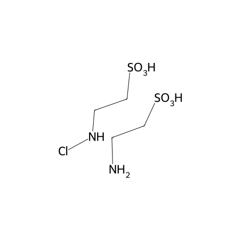 NCCS(=O)(=O)O.O=S(=O)(O)CCNCl